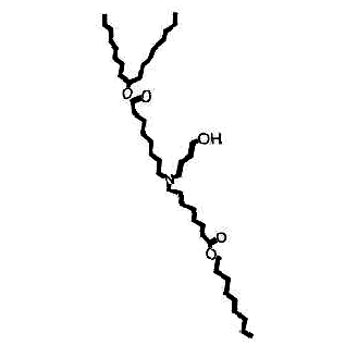 CCCCCCCCCOC(=O)CCCCCCCN(CCCCO)CCCCCCCC(=O)OC(CCCCCCCC)CCCCCCCC